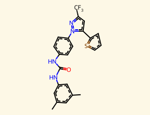 Cc1cc(C)cc(NC(=O)Nc2ccc(-n3nc(C(F)(F)F)cc3-c3cccs3)cc2)c1